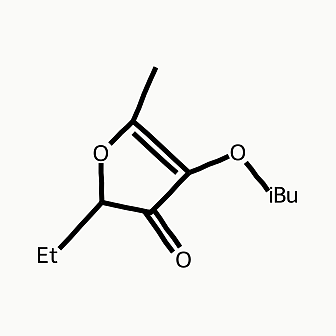 CCC(C)OC1=C(C)OC(CC)C1=O